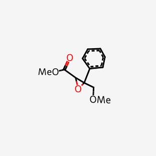 COCC1(c2ccccc2)OC1C(=O)OC